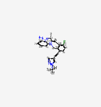 [2H]C([2H])([2H])n1cc(C#Cc2ccc(F)c3c2CN(c2ccccc2)C([C@H](C)N)=C3)cn1